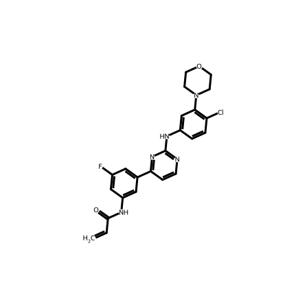 C=CC(=O)Nc1cc(F)cc(-c2ccnc(Nc3ccc(Cl)c(N4CCOCC4)c3)n2)c1